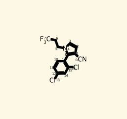 N#Cc1ccn(CCC(F)(F)F)c1-c1ccc(Cl)cc1Cl